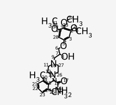 COc1cc(OCC(O)CN2CCN(C(C(N)=O)c3c(C)cccc3C)CC2)cc(OC)c1OC